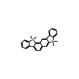 C[Si]1(C)c2ccccc2-c2cc3c4c(ccc3cc21)-c1ccccc1[Si]4(C)C